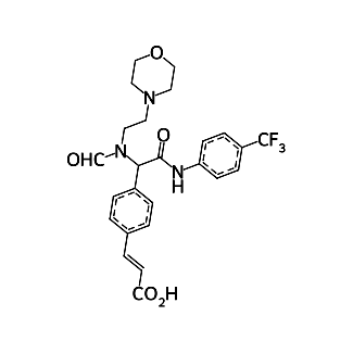 O=CN(CCN1CCOCC1)C(C(=O)Nc1ccc(C(F)(F)F)cc1)c1ccc(/C=C/C(=O)O)cc1